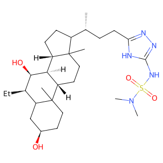 CC[C@@H]1C2C[C@H](O)CCC2(C)[C@H]2CCC3(C)C([C@H](C)CCc4nnc(NS(=O)(=O)N(C)C)[nH]4)CC[C@H]3[C@@H]2[C@@H]1O